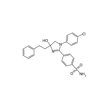 NS(=O)(=O)c1ccc(C2=NC(O)(CCc3ccccc3)CN2c2ccc(Cl)cc2)cc1